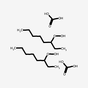 CCCCCC(CC)OO.CCCCCC(CC)OO.O=C(O)O.O=C(O)O